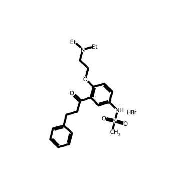 Br.CCN(CC)CCOc1ccc(NS(C)(=O)=O)cc1C(=O)CCc1ccccc1